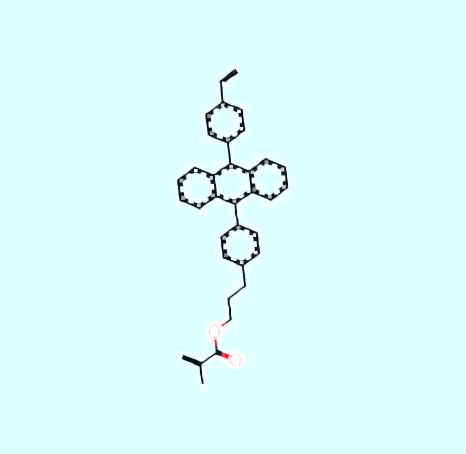 C=Cc1ccc(-c2c3ccccc3c(-c3ccc(CCCOC(=O)C(=C)C)cc3)c3ccccc23)cc1